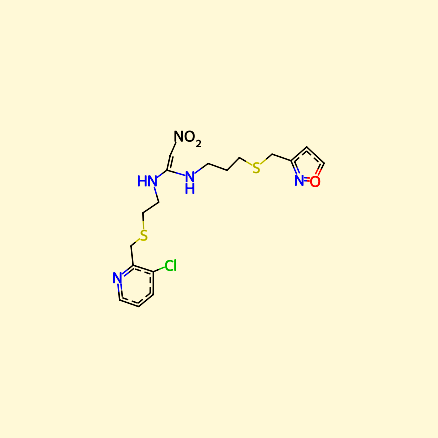 O=[N+]([O-])/C=C(\NCCCSCc1ccon1)NCCSCc1ncccc1Cl